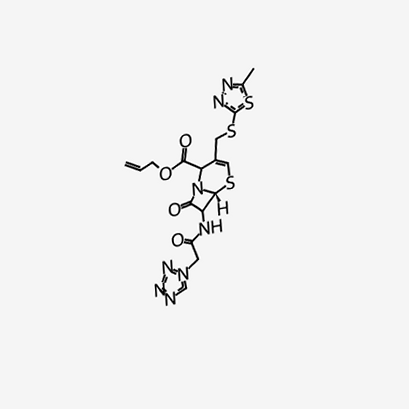 C=CCOC(=O)C1C(CSc2nnc(C)s2)=CS[C@@H]2C(NC(=O)Cn3cnnn3)C(=O)N12